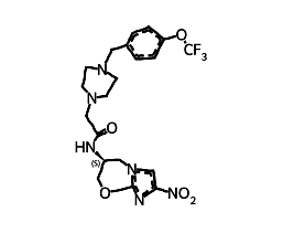 O=C(CN1CCN(Cc2ccc(OC(F)(F)F)cc2)CC1)N[C@@H]1COc2nc([N+](=O)[O-])cn2C1